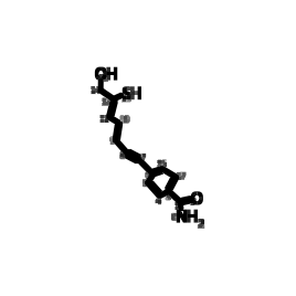 NC(=O)c1ccc(C#C/C=C/C=C(\S)CO)cc1